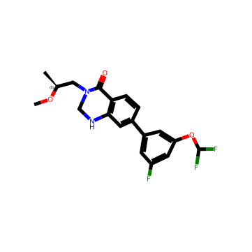 CO[C@@H](C)CN1CNc2cc(-c3cc(F)cc(OC(F)F)c3)ccc2C1=O